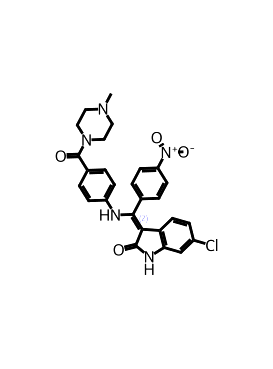 CN1CCN(C(=O)c2ccc(N/C(=C3\C(=O)Nc4cc(Cl)ccc43)c3ccc([N+](=O)[O-])cc3)cc2)CC1